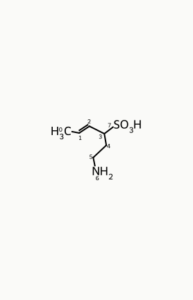 CC=CC(CCN)S(=O)(=O)O